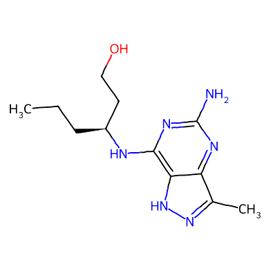 CCC[C@@H](CCO)Nc1nc(N)nc2c(C)n[nH]c12